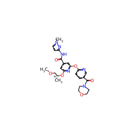 COC[C@@H](C)Oc1cc(C(=O)Nc2ccn(C)n2)cc(Oc2ccc(C(=O)N3CCOCC3)cn2)n1